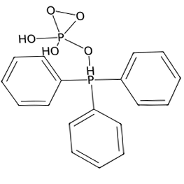 OP1(O)(O[PH](c2ccccc2)(c2ccccc2)c2ccccc2)OO1